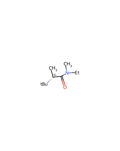 CCN(C)C(=O)[C@@H](C)C(C)(C)C